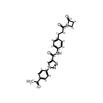 CC(=O)c1ccc(-n2cc(C(=O)Nc3ccc(CCC(=O)N4CCC4=O)cc3)nn2)cc1